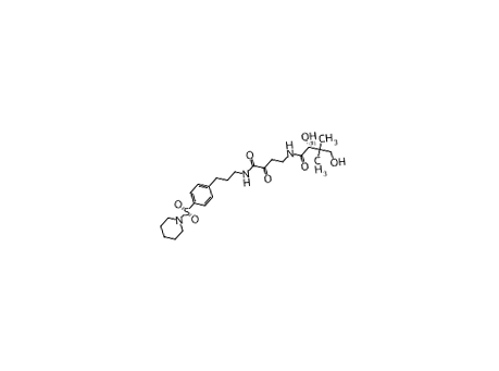 CC(C)(CO)[C@@H](O)C(=O)NCCC(=O)C(=O)NCCCc1ccc(S(=O)(=O)N2CCCCC2)cc1